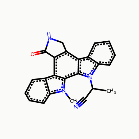 CC(C#N)n1c2ccccc2c2c3c(c4c5ccccc5n(C)c4c21)C(=O)NC3